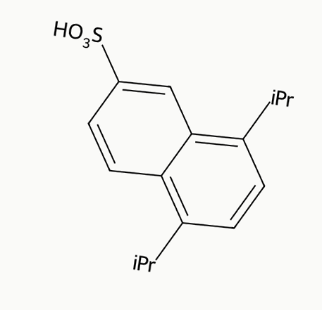 CC(C)c1ccc(C(C)C)c2cc(S(=O)(=O)O)ccc12